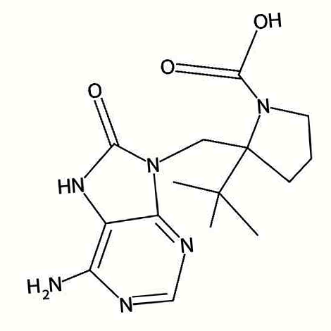 CC(C)(C)C1(Cn2c(=O)[nH]c3c(N)ncnc32)CCCN1C(=O)O